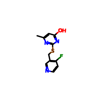 Cc1cc(O)nc(SCc2cnccc2F)n1